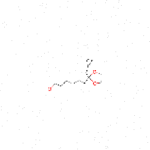 O=CCCCCCC1(CC2CC2)OCCO1